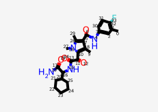 Cc1cc(NC(=O)c2c(C)c(C(=O)C(=O)NC(C(N)=O)C3CCCCC3)n(C)c2C)ccc1F